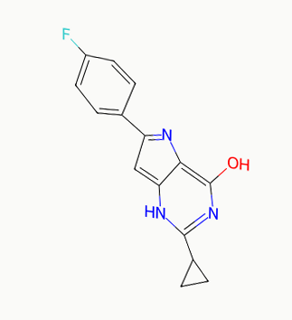 Oc1nc(C2CC2)[nH]c2cc(-c3ccc(F)cc3)nc1-2